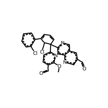 COc1nc(C2(c3cc4ncc(C=O)cc4cn3)C=CC=C(c3ccccc3Cl)C2Cl)ccc1C=O